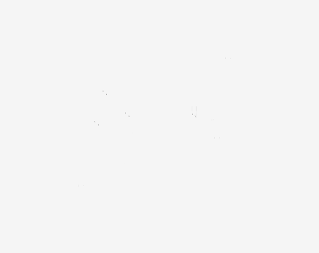 CNc1nc(-c2cccc(NC(=O)c3cccc(OC)c3)c2)c2cc(OC)c(OC)cc2n1